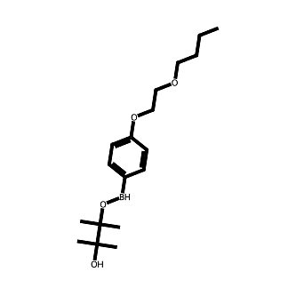 CCCCOCCOc1ccc(BOC(C)(C)C(C)(C)O)cc1